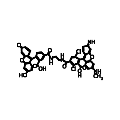 CNc1ccc2c(-c3c(Cl)cc(C(=O)NCCNC(=O)c4ccc(-c5c6ccc(=O)cc-6oc6cc(O)ccc56)c(C(=O)O)c4)c(Cl)c3C(=O)O)c3ccc(=N)cc-3oc2c1